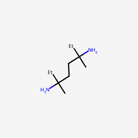 CCC(C)(N)CCC(C)(N)CC